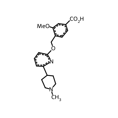 COc1cc(C(=O)O)ccc1COc1cccc(C2CCN(C)CC2)n1